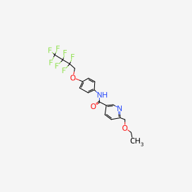 CCOCc1ccc(C(=O)Nc2ccc(OCC(F)(F)C(F)(F)C(F)(F)F)cc2)cn1